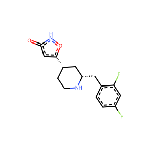 O=c1cc([C@H]2CCN[C@@H](Cc3ccc(F)cc3F)C2)o[nH]1